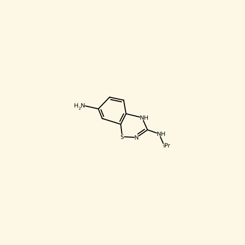 CC(C)NC1=NSc2cc(N)ccc2N1